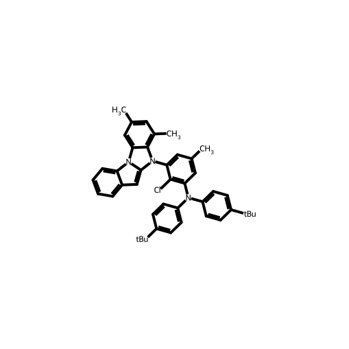 Cc1cc(N(c2ccc(C(C)(C)C)cc2)c2ccc(C(C)(C)C)cc2)c(Cl)c(-n2c3c(C)cc(C)cc3n3c4ccccc4cc23)c1